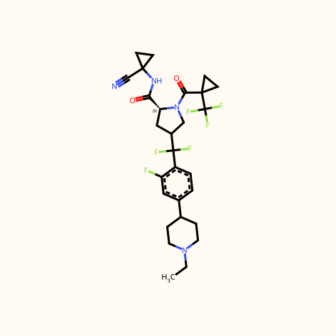 CCN1CCC(c2ccc(C(F)(F)C3C[C@@H](C(=O)NC4(C#N)CC4)N(C(=O)C4(C(F)(F)F)CC4)C3)c(F)c2)CC1